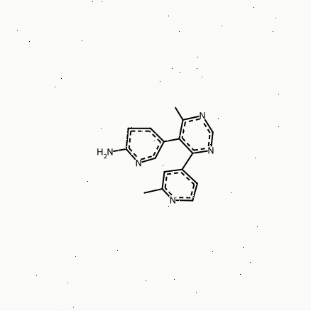 Cc1cc(-c2ncnc(C)c2-c2ccc(N)nc2)ccn1